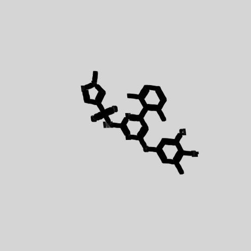 Cc1cc(Oc2cc(-c3c(C)cccc3C)nc(NS(=O)(=O)c3cnn(C)c3)n2)cc(Cl)c1Br